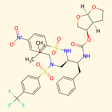 CC(C)CN(C[C@@H](NS(=O)(=O)c1ccc([N+](=O)[O-])cc1)[C@H](Cc1ccccc1)NC(=O)O[C@H]1CO[C@H]2OCC[C@H]21)S(=O)(=O)c1ccc(C(F)(F)F)cc1